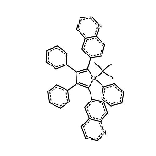 CC(C)(C)[Si]1(c2ccccc2)C(c2ccc3ncccc3c2)=C(c2ccccc2)C(c2ccccc2)=C1c1ccc2ncccc2c1